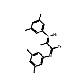 CCC(=Nc1cc(C)cc(C)c1)C(C)=[N+]([Ni])c1cc(C)cc(C)c1